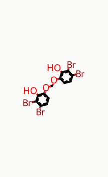 Oc1c(OCOc2ccc(Br)c(Br)c2O)ccc(Br)c1Br